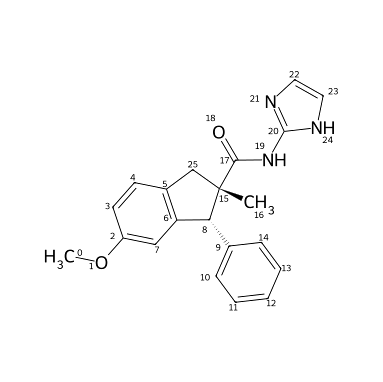 COc1ccc2c(c1)[C@@H](c1ccccc1)[C@@](C)(C(=O)Nc1ncc[nH]1)C2